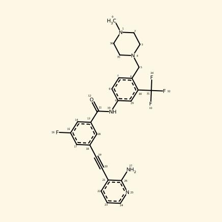 CN1CCN(Cc2ccc(NC(=O)c3cc(F)cc(C#Cc4cccnc4N)c3)cc2C(F)(F)F)CC1